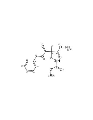 CC(C)(C)OC(=O)NCC(C)(C(=O)ON)C(=O)OCc1ccccc1